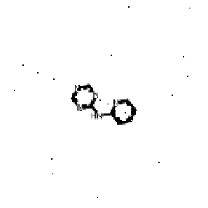 c1ccc(Nc2ncncn2)nc1